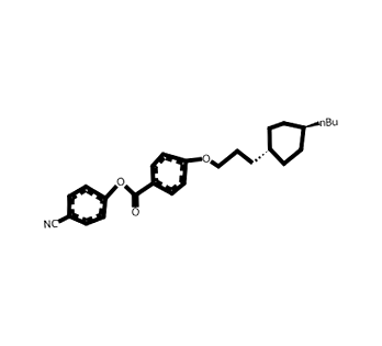 CCCC[C@H]1CC[C@H](CCCOc2ccc(C(=O)Oc3ccc(C#N)cc3)cc2)CC1